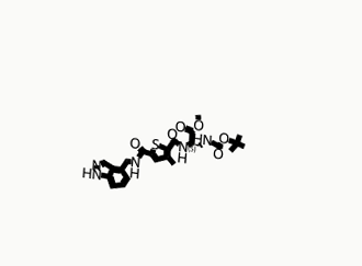 COC(=O)[C@H](CNC(=O)OC(C)(C)C)NC(=O)c1sc(C(=O)NCc2cccc3[nH]ncc23)cc1C